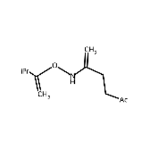 C=C(CCC(C)=O)NOC(=C)C(C)C